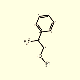 CC(C)OCC(c1ccccc1)C(F)(F)F